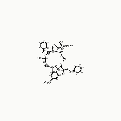 CCCCCS(=O)(=O)N(C)[C@H]1C/C=C\CN(C(=O)OCc2ccccc2)C2CC(NC[C@@H](O)[C@H](Cc3ccccc3)NC1=O)c1cc(OC)ccc12